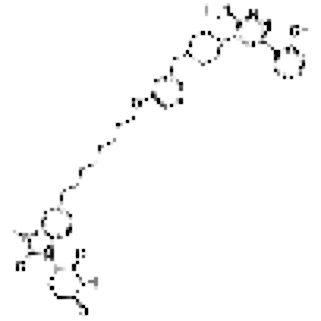 Cn1c(=O)n(C2CCC(=O)NC2=O)c2ccc(CCCCCCCCOc3cccc(CN4CCN(c5cc(-c6ccccc6O)nnc5N)CC4)c3)cc21